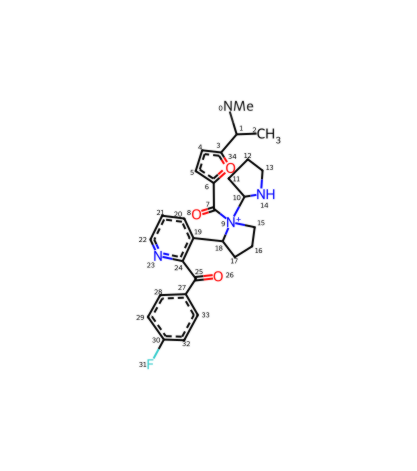 CNC(C)c1ccc(C(=O)[N+]2(C3CCCN3)CCCC2c2cccnc2C(=O)c2ccc(F)cc2)o1